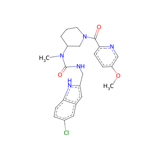 COc1ccc(C(=O)N2CCCC(N(C)C(=O)NCc3cc4cc(Cl)ccc4[nH]3)C2)nc1